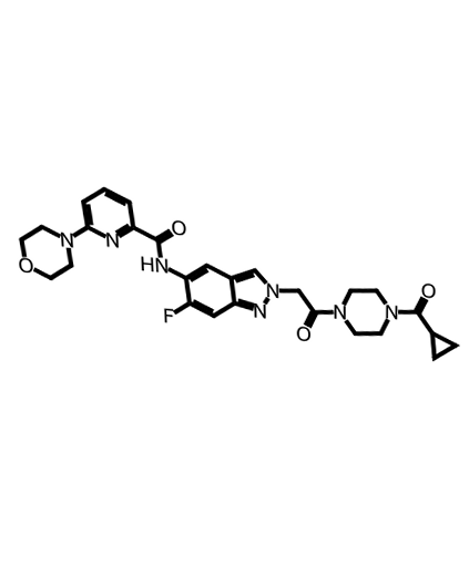 O=C(Nc1cc2cn(CC(=O)N3CCN(C(=O)C4CC4)CC3)nc2cc1F)c1cccc(N2CCOCC2)n1